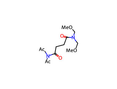 COCN(COC)C(=O)CCC(=O)N(C(C)=O)C(C)=O